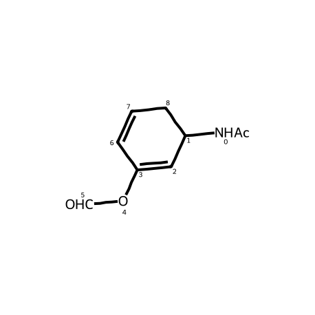 CC(=O)NC1C=C(OC=O)C=CC1